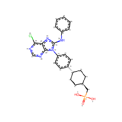 O=P(O)(O)C[C@H]1CC[C@H](c2ccc(-n3c(Nc4ccccc4)nc4c(Cl)ncnc43)cc2)CC1